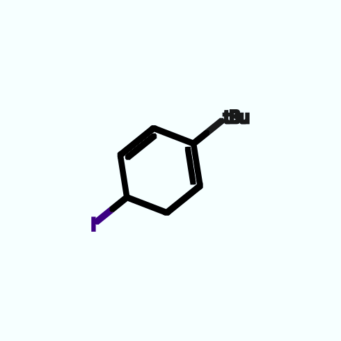 CC(C)(C)C1=CCC(I)C=C1